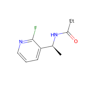 CCC(=O)N[C@@H](C)c1cccnc1F